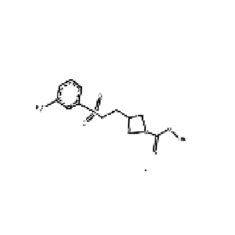 CC(C)(C)OC(=O)N1CC(CCS(=O)(=O)c2cccc(C(F)(F)F)c2)C1